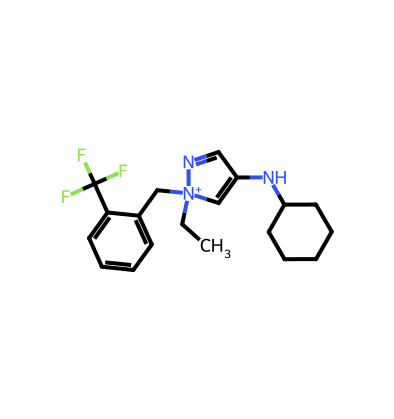 CC[N+]1(Cc2ccccc2C(F)(F)F)C=C(NC2CCCCC2)C=N1